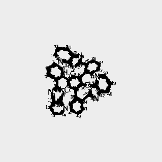 Cc1c(-c2ccccc2-c2nc3cccnc3s2)c(C)c(-c2ccccc2-c2nc3cccnc3s2)c(C)c1-c1ccccc1-c1nc2cccnc2s1